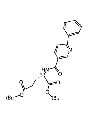 CC(C)(C)OC(=O)CC[C@H](NC(=O)c1ccc(-c2ccccc2)nc1)C(=O)OC(C)(C)C